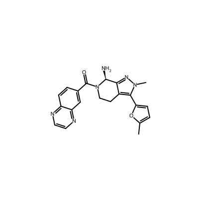 Cc1ccc(-c2c3c(nn2C)[C@H](N)N(C(=O)c2ccc4nccnc4c2)CC3)o1